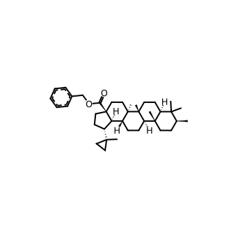 C[C@H]1CC[C@]2(C)[C@H]3CC[C@@H]4[C@H]5[C@H](C6(C)CC6)CC[C@]5(C(=O)OCc5ccccc5)CC[C@@]4(C)[C@]3(C)CC[C@H]2C1(C)C